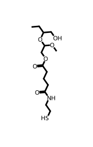 CCC(CO)OC(COC(=O)CCCC(=O)NCCS)OC